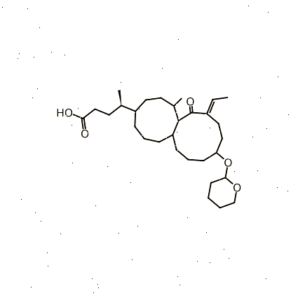 C/C=C1\CCC(OC2CCCCO2)CCCC2CCCC([C@H](C)CCC(=O)O)CCC(C)C2C1=O